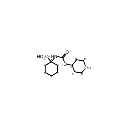 O=C(NC1(C(=O)O)CCCCC1)OC1CCOCC1